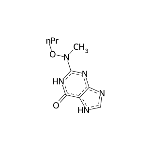 CCCON(C)c1nc2nc[nH]c2c(=O)[nH]1